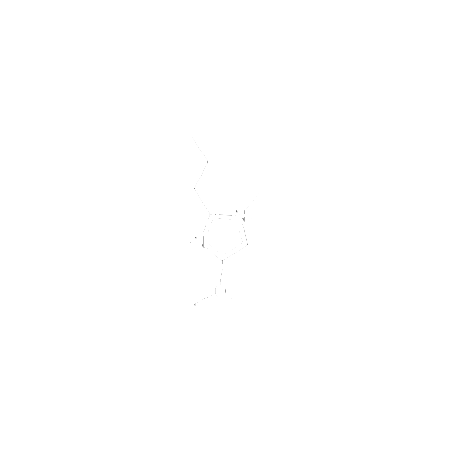 CCCc1nc(OC)cn1C